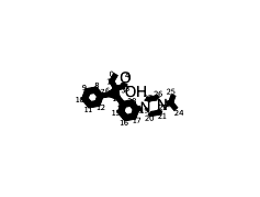 CCC1(C(=O)O)C(c2ccccc2)C1c1cccc(N2CCN(C(C)C)CC2)c1